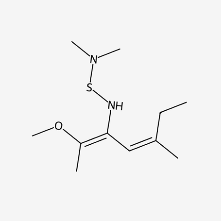 CC/C(C)=C\C(NSN(C)C)=C(/C)OC